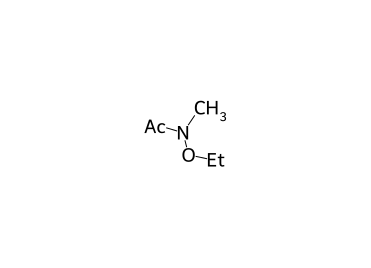 CCON(C)C(C)=O